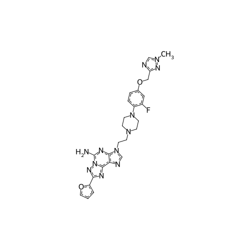 Cn1cnc(COc2ccc(N3CCN(CCn4cnc5c4nc(N)n4nc(-c6ccco6)nc54)CC3)c(F)c2)n1